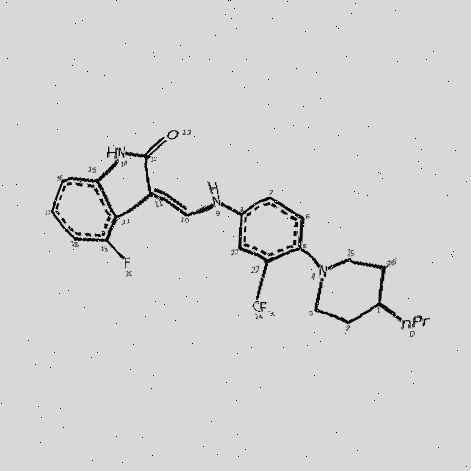 CCCC1CCN(c2ccc(NC=C3C(=O)Nc4cccc(F)c43)cc2C(F)(F)F)CC1